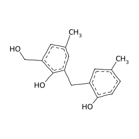 Cc1ccc(O)c(Cc2cc(C)cc(CO)c2O)c1